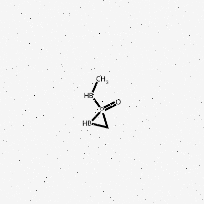 CBP1(=O)BC1